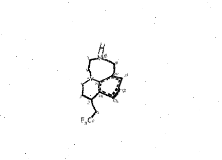 FC(F)(F)CC1CCN2CCNCc3cccc1c32